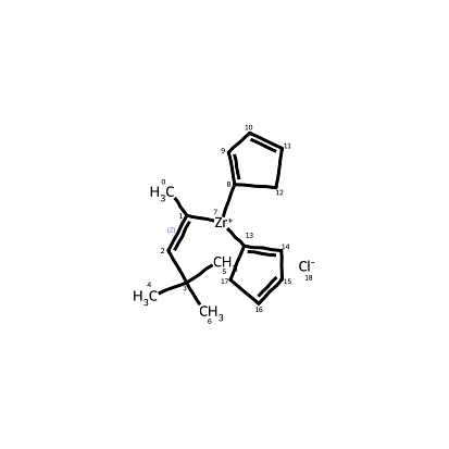 C/[C](=C/C(C)(C)C)[Zr+]([C]1=CC=CC1)[C]1=CC=CC1.[Cl-]